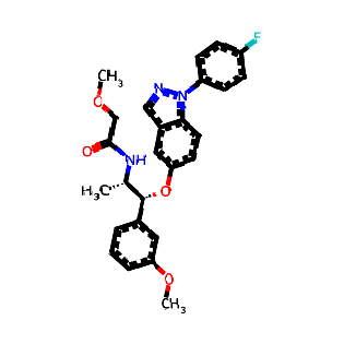 COCC(=O)N[C@@H](C)[C@H](Oc1ccc2c(cnn2-c2ccc(F)cc2)c1)c1cccc(OC)c1